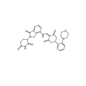 O=C1CCC(N2Cc3c(NC=C4C(=O)CC(c5ccccc5N5CCOCC5)CC4=O)cccc3C2=O)C(=O)N1